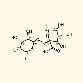 C[C@H]1O[C@H](OO[C@@]2(C(=O)O)O[C@H](C)[C@@H](O)[C@H](O)[C@H]2O)[C@H](O)[C@@H](O)[C@@H]1O